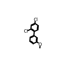 COc1[c]ccc(-c2ccc(Cl)cc2Cl)c1